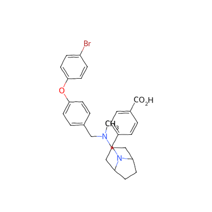 CN(Cc1ccc(Oc2ccc(Br)cc2)cc1)C1CC2CCC(C1)N2Cc1ccc(C(=O)O)cc1